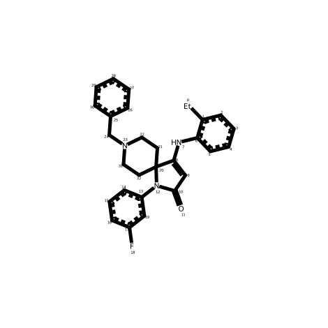 CCc1ccccc1NC1=CC(=O)N(c2cccc(F)c2)C12CCN(Cc1ccccc1)CC2